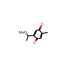 COC(C)C1=CC(=O)C(C)=CC1=O